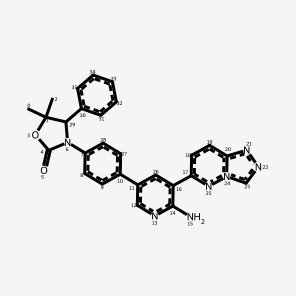 CC1(C)OC(=O)N(c2ccc(-c3cnc(N)c(-c4ccc5nncn5n4)c3)cc2)C1c1ccccc1